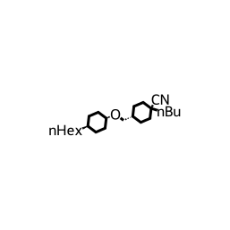 CCCCCC[C@H]1CC[C@H](OC[C@H]2CC[C@@](C#N)(CCCC)CC2)CC1